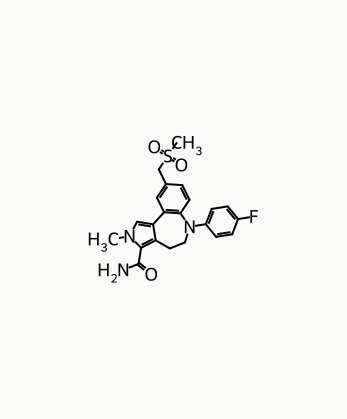 Cn1cc2c(c1C(N)=O)CCN(c1ccc(F)cc1)c1ccc(CS(C)(=O)=O)cc1-2